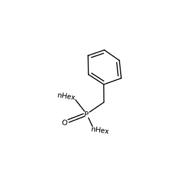 CCCCCCP(=O)(CCCCCC)Cc1ccccc1